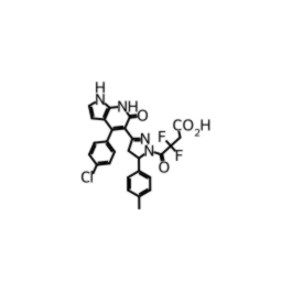 Cc1ccc(C2CC(c3c(-c4ccc(Cl)cc4)c4cc[nH]c4[nH]c3=O)=NN2C(=O)C(F)(F)CC(=O)O)cc1